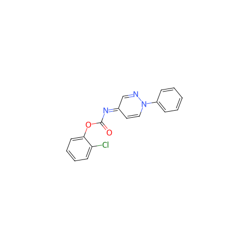 O=C(/N=c1\ccn(-c2ccccc2)nc1)Oc1ccccc1Cl